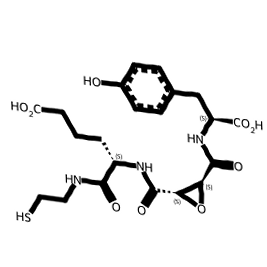 O=C(O)CCC[C@H](NC(=O)[C@H]1O[C@@H]1C(=O)N[C@@H](Cc1ccc(O)cc1)C(=O)O)C(=O)NCCS